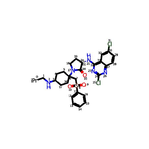 CC(C)CNC1CCC(CS(=O)(=O)c2ccccc2)(N2CC[C@H](Nc3nc(Cl)nc4ccc(Cl)cc34)C2=O)CC1